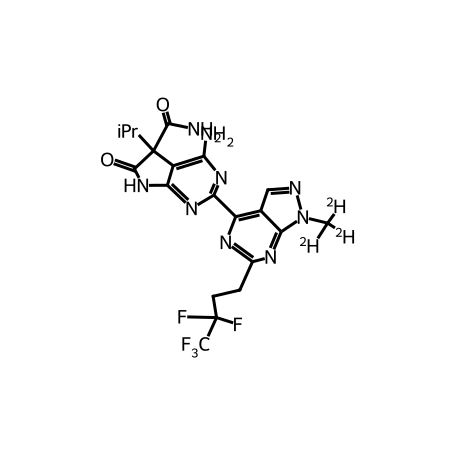 [2H]C([2H])([2H])n1ncc2c(-c3nc(N)c4c(n3)NC(=O)C4(C(N)=O)C(C)C)nc(CCC(F)(F)C(F)(F)F)nc21